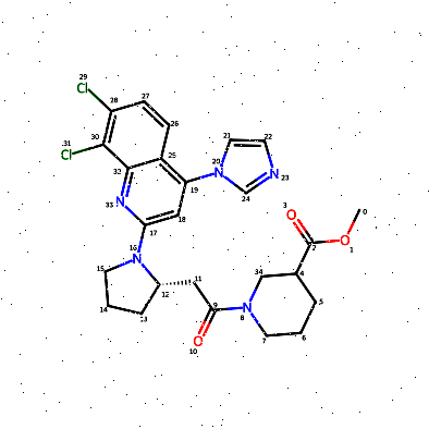 COC(=O)C1CCCN(C(=O)C[C@@H]2CCCN2c2cc(-n3ccnc3)c3ccc(Cl)c(Cl)c3n2)C1